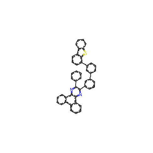 c1ccc(-c2nc3c4ccccc4c4ccccc4c3nc2-c2cccc(-c3cccc(-c4cccc5c4sc4ccccc45)c3)c2)cc1